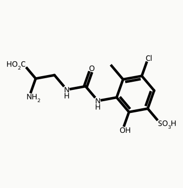 Cc1c(Cl)cc(S(=O)(=O)O)c(O)c1NC(=O)NCC(N)C(=O)O